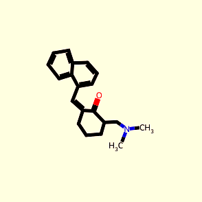 CN(C)CC1CCCC(=Cc2cccc3ccccc23)C1=O